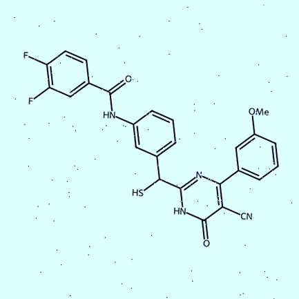 COc1cccc(-c2nc(C(S)c3cccc(NC(=O)c4ccc(F)c(F)c4)c3)[nH]c(=O)c2C#N)c1